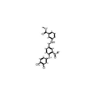 COC(=O)c1cccc(NCc2ccc(Sc3ccc(Cl)c(Cl)c3)c([N+](=O)[O-])c2)c1